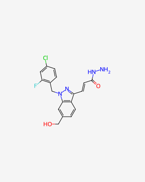 NNC(=O)C=Cc1nn(Cc2ccc(Cl)cc2F)c2cc(CO)ccc12